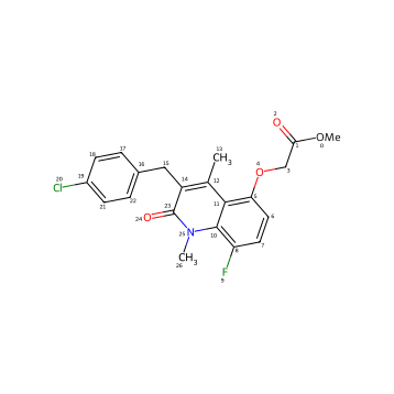 COC(=O)COc1ccc(F)c2c1c(C)c(Cc1ccc(Cl)cc1)c(=O)n2C